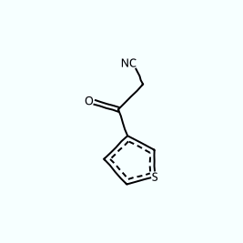 N#CCC(=O)c1ccsc1